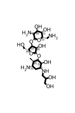 C[C@H]1[C@H](O[C@@H]2O[C@H](CO)[C@@H](O[C@H]3O[C@@H](CN)[C@@H](O)[C@H](O)[C@H]3N)[C@H]2O)[C@@H](O)[C@H](NCC(O)CO)C[C@@H]1N